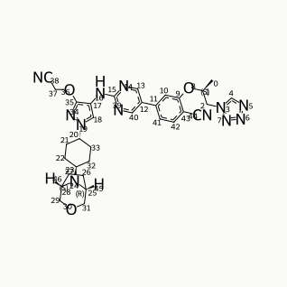 C[C@@H](Cn1cnnn1)Oc1cc(-c2cnc(Nc3cn([C@H]4CC[C@H](N5[C@@H]6CC[C@H]5COC6)CC4)nc3OCC#N)nc2)ccc1C#N